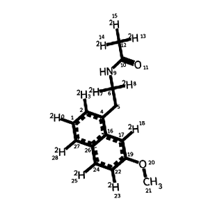 [2H]c1c([2H])c(CC([2H])([2H])NC(=O)C([2H])([2H])[2H])c2c([2H])c(OC)c([2H])c([2H])c2c1[2H]